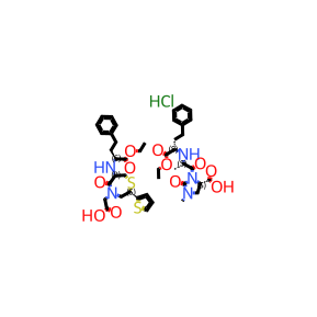 CCOC(=O)[C@H](CCc1ccccc1)N[C@@H](C)C(=O)N1C(=O)N(C)C[C@H]1C(=O)O.CCOC(=O)[C@H](CCc1ccccc1)N[C@H]1CS[C@H](c2cccs2)CN(CC(=O)O)C1=O.Cl